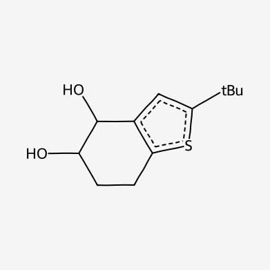 CC(C)(C)c1cc2c(s1)CCC(O)C2O